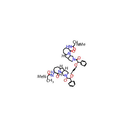 CN[C@@H](C)C(=O)N[C@H]1CCC[C@H]2CC3CCN(C(=O)C(OCC#CCOC(C(=O)N4CC[C@@H]5C[C@@H]6CCC[C@H](NC(=O)[C@H](C)NC)C(=O)N6[C@@H]5C4)c4ccccc4)c4ccccc4)CC3N2C1=O